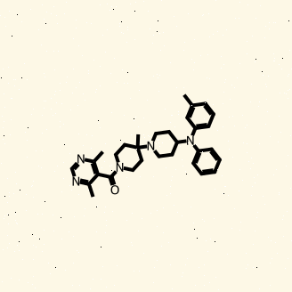 Cc1cccc(N(c2ccccc2)C2CCN(C3(C)CCN(C(=O)c4c(C)ncnc4C)CC3)CC2)c1